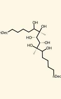 CCCCCCCCCCCCCCC(O)[C@@](C)(O)[C@@H](O)[C@H](O)[C@](C)(O)C(O)CCCCCCCCCCCCCC